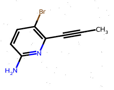 CC#Cc1nc(N)ccc1Br